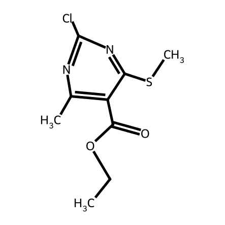 CCOC(=O)c1c(C)nc(Cl)nc1SC